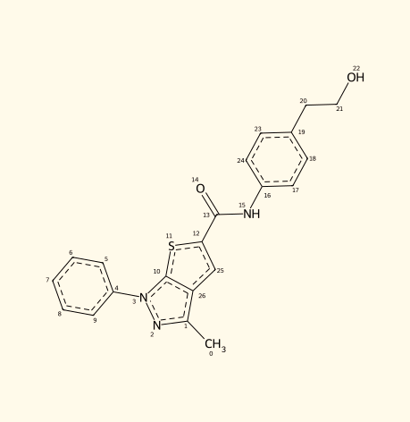 Cc1nn(-c2ccccc2)c2sc(C(=O)Nc3ccc(CCO)cc3)cc12